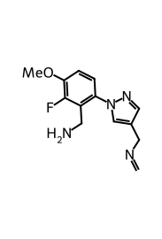 C=NCc1cnn(-c2ccc(OC)c(F)c2CN)c1